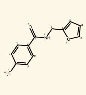 [CH2]c1ccc(C(=O)NCc2ccco2)cc1